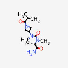 C=C(C)C(=O)N1CC(N(C)C(=O)N(C)[C@H](C(N)=O)C(C)C)C1